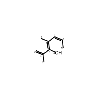 C=C(C)/C(O)=C(C)/C=C\C